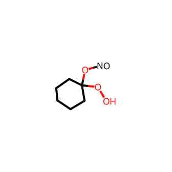 O=NOC1(OO)CCCCC1